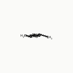 CCCCCCCCc1ccc(C(=O)Oc2cnc(-c3ccc(CCCCC)cc3)cn2)cc1